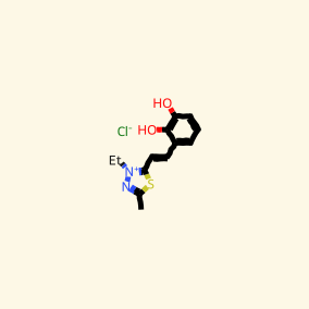 CC[n+]1nc(C)sc1/C=C/c1cccc(O)c1O.[Cl-]